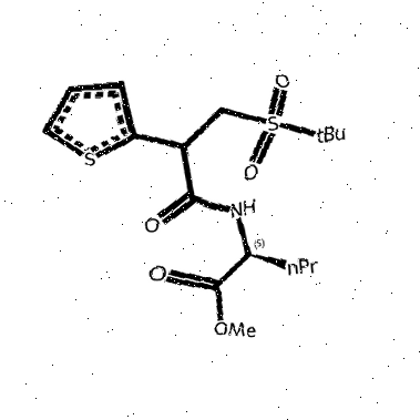 CCC[C@H](NC(=O)C(CS(=O)(=O)C(C)(C)C)c1cccs1)C(=O)OC